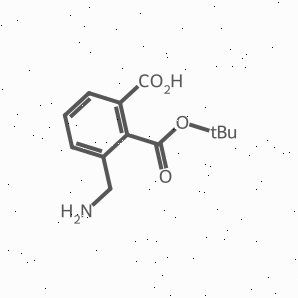 CC(C)(C)OC(=O)c1c(CN)cccc1C(=O)O